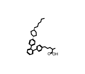 CCCCCC[C@H]1CC[C@H](c2ccc(-c3ccccc3-c3ccc(CCCC(C)C(=O)O)cc3)cc2)CC1